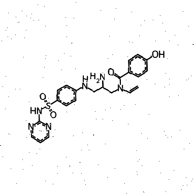 C=CN(CC(N)CNc1ccc(S(=O)(=O)Nc2ncccn2)cc1)C(=O)c1ccc(O)cc1